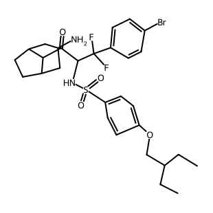 CCC(CC)COc1ccc(S(=O)(=O)NC(C(=O)C2C3CCC2CC(N)C3)C(F)(F)c2ccc(Br)cc2)cc1